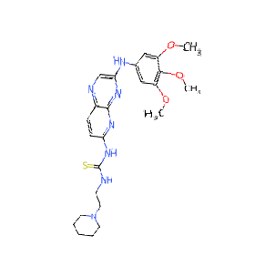 COc1cc(Nc2cnc3ccc(NC(=S)NCCN4CCCCC4)nc3n2)cc(OC)c1OC